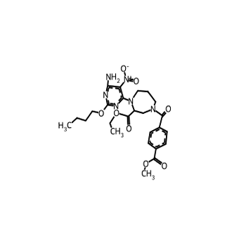 CCCCOc1nc(N)c([N+](=O)[O-])c(N2CCCN(C(=O)c3ccc(C(=O)OC)cc3)CC2C(=O)OCC)n1